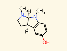 CN1CC[C@@H]2c3cc(O)ccc3N(C)[C@@H]21